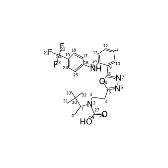 CC(N(CCc1nnc(-c2ccccc2Nc2ccc(C(F)(F)F)cc2)o1)C(=O)O)C(C)(C)C